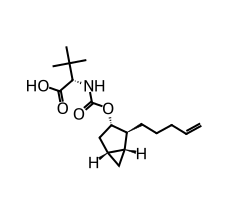 C=CCCC[C@H]1[C@@H]2C[C@@H]2C[C@@H]1OC(=O)N[C@H](C(=O)O)C(C)(C)C